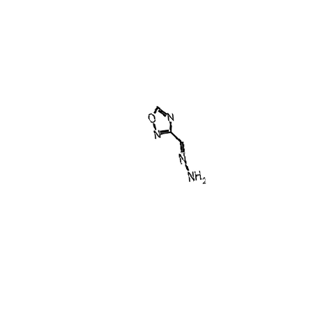 NN=Cc1ncon1